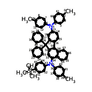 Cc1ccc(N(c2ccc(C)cc2)c2ccc3c(c2)C(c2ccccc2)(c2ccccc2)c2cc(N(c4ccc(C)cc4)c4ccc([Si](C)(C)C)cc4)c4ccccc4c2-3)cc1